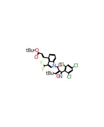 CC(C)(C)OC(=O)/C=C/c1cccc2c1c(C(F)F)cn2C(=O)c1c(-c2c(Cl)cc(Cl)cc2Cl)noc1C(C)(C)C